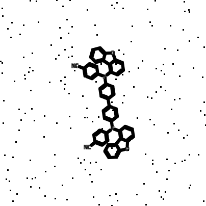 N#Cc1ccc(N(c2ccc(-c3ccc(N(c4ccc(C#N)cc4)c4cccc5oc6ccccc6c45)cc3)cc2)c2cccc3oc4ccccc4c23)cc1